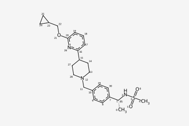 C[C@@H](NS(C)(=O)=O)c1ccc(CN2CCC(c3cccc(OCC4CC4)n3)CC2)cc1